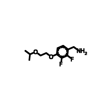 CC(C)OCCOc1ccc(CN)c(F)c1F